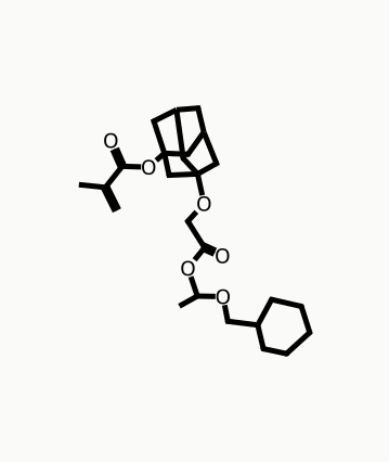 C=C(C)C(=O)OC12CC3CC(CC(OCC(=O)OC(C)OCC4CCCCC4)(C3)C1)C2